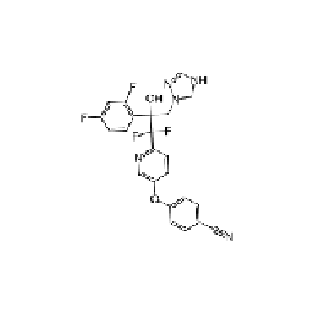 N#Cc1ccc(Oc2ccc(C(F)(F)C(O)(CN3CNC=N3)c3ccc(F)cc3F)nc2)cc1